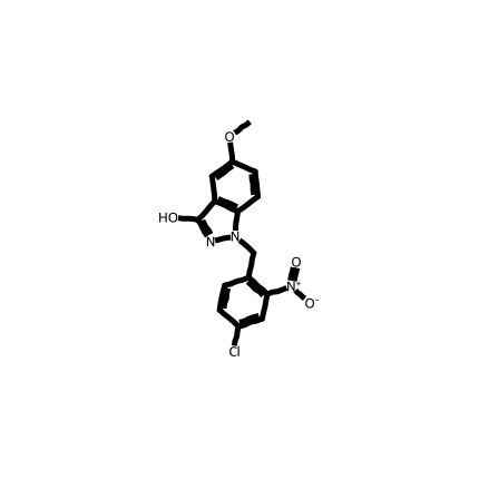 COc1ccc2c(c1)c(O)nn2Cc1ccc(Cl)cc1[N+](=O)[O-]